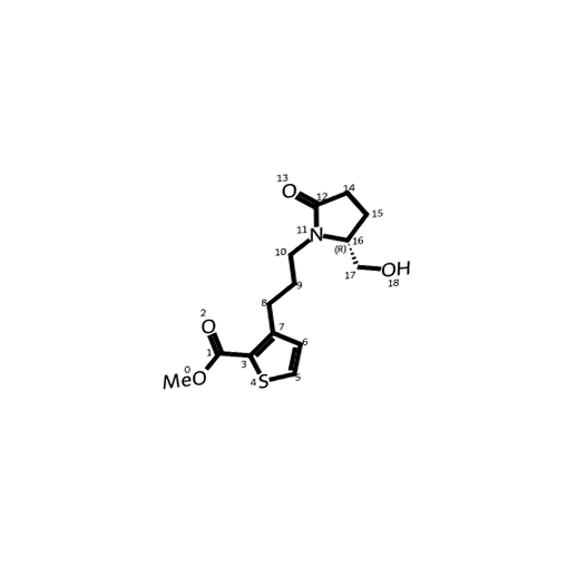 COC(=O)c1sccc1CCCN1C(=O)CC[C@@H]1CO